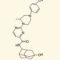 CC1CN(c2ccc(C#N)cc2)CCN1c1nccc(C(=O)NC2C3CC4CC2CC(O)(C4)C3)n1